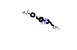 CCCCc1cnc(-c2ccc(CC[C@H]3CC[C@H](CC)CC3)cc2F)nc1